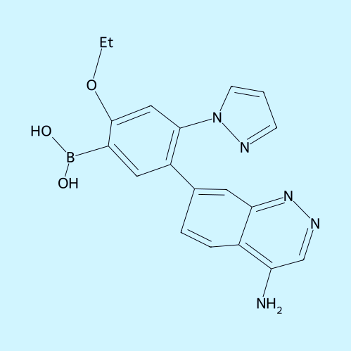 CCOc1cc(-n2cccn2)c(-c2ccc3c(N)cnnc3c2)cc1B(O)O